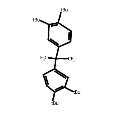 CC(C)(C)c1ccc(C(c2ccc(C(C)(C)C)c(C(C)(C)C)c2)(C(F)(F)F)C(F)(F)F)cc1C(C)(C)C